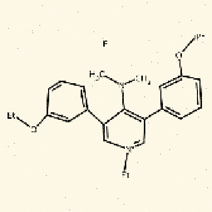 CCOc1cccc(-c2c[n+](CC)cc(-c3cccc(OC(C)C)c3)c2N(C)C)c1.[F-]